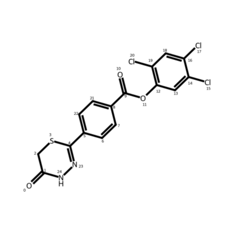 O=C1CSC(c2ccc(C(=O)Oc3cc(Cl)c(Cl)cc3Cl)cc2)=NN1